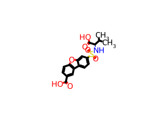 CC(C)[C@H](NS(=O)(=O)c1ccc2c(c1)oc1ccc(C(=O)O)cc12)C(=O)O